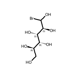 OC[C@@H](O)[C@@H](O)[C@H](O)[C@H](O)C(O)Br